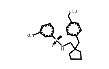 O=C(O)Cc1ccc(CC2(CNS(=O)(=O)c3cccc([N+](=O)[O-])c3)CCCC2)cc1